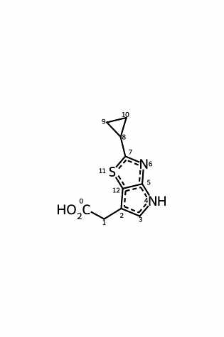 O=C(O)Cc1c[nH]c2nc(C3CC3)sc12